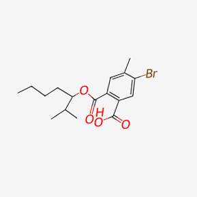 CCCCC(OC(=O)c1cc(C)c(Br)cc1C(=O)O)C(C)C